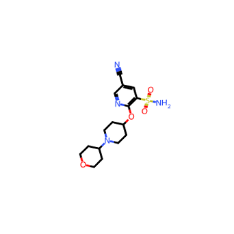 N#Cc1cnc(OC2CCN(C3CCOCC3)CC2)c(S(N)(=O)=O)c1